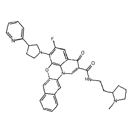 CN1CCCC1CCNC(=O)c1cn2c3c(c(N4CCC(c5ccccn5)C4)c(F)cc3c1=O)Oc1cc3ccccc3cc1-2